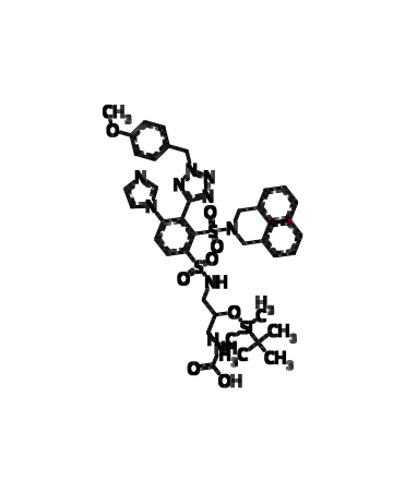 COc1ccc(Cn2nnc(-c3c(-n4ccnc4)ccc(S(=O)(=O)NCC(CNC(=O)O)O[Si](C)(C)C(C)(C)C)c3S(=O)(=O)N(Cc3ccccc3)Cc3ccccc3)n2)cc1